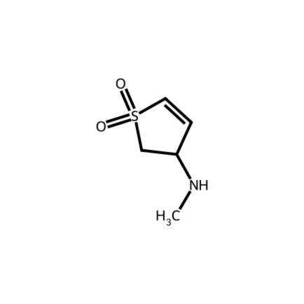 CNC1C=CS(=O)(=O)C1